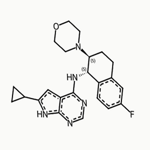 Fc1ccc2c(c1)CC[C@H](N1CCOCC1)[C@H]2Nc1ncnc2[nH]c(C3CC3)cc12